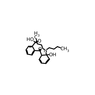 CCCCN(CCCC)C1(O)C=CC=CC1C(=O)c1ccccc1C(=O)O